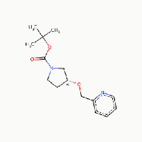 CC(C)(C)OC(=O)N1CC[C@@H](OCc2ccccn2)C1